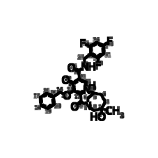 C[C@]1(O)CC[C@H]2CN(C1)C(=O)c1c(OCc3ccccc3)c(=O)c(C(=O)NCc3c(F)cc(F)cc3F)cn12